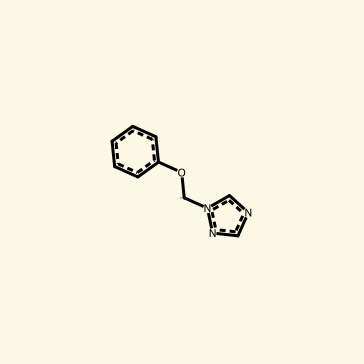 [CH](Oc1ccccc1)n1cncn1